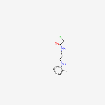 Cc1ccccc1NCCCNC(=O)CCl